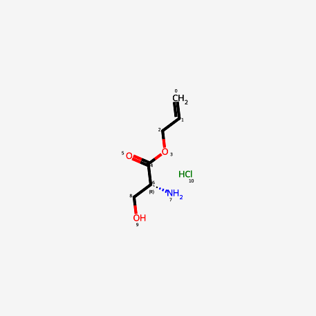 C=CCOC(=O)[C@H](N)CO.Cl